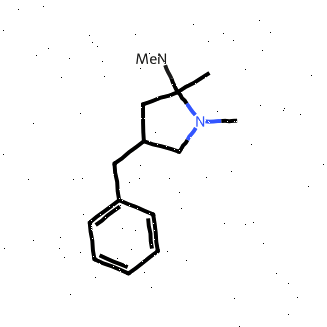 CNC1(C)CC(Cc2ccccc2)CN1C